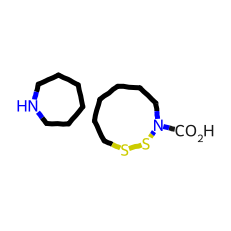 C1CCCNCC1.O=C(O)N1CCCCCCSS1